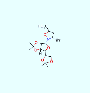 CC(C)[C@H]1C[C@H](C(=O)O)ON1[C@@H]1O[C@@H]([C@H]2COC(C)(C)O2)[C@@H]2OC(C)(C)OC21